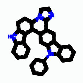 c1ccc(-n2c3ccccc3c3cc4c(cc32)c2c3c(ccc2n2ccnc42)[nH]c2ccccc23)cc1